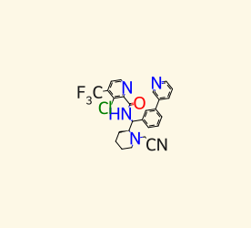 N#CCN1CCCC[C@H]1[C@@H](NC(=O)c1nccc(C(F)(F)F)c1Cl)c1cccc(-c2cccnc2)c1